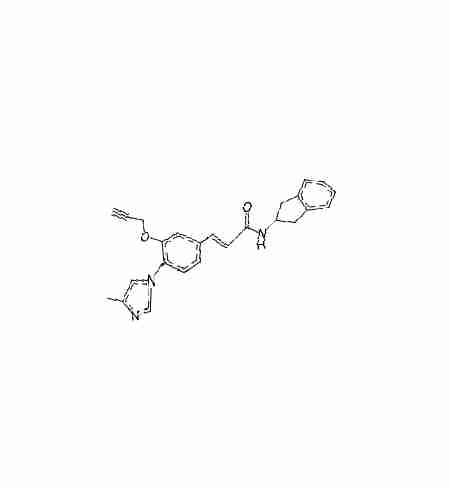 C#CCOc1cc(C=CC(=O)NC2Cc3ccccc3C2)ccc1-n1cnc(C)c1